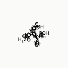 CN1C(=O)C2CN(Cc3c2c2cc(OCCN4CCOCC4)ccc2n3Cc2ccc(C(=O)O)cc2)C1=O.O=C(O)C(F)(F)F